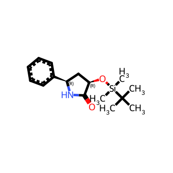 CC(C)(C)[Si](C)(C)O[C@@H]1C[C@H](c2ccccc2)NC1=O